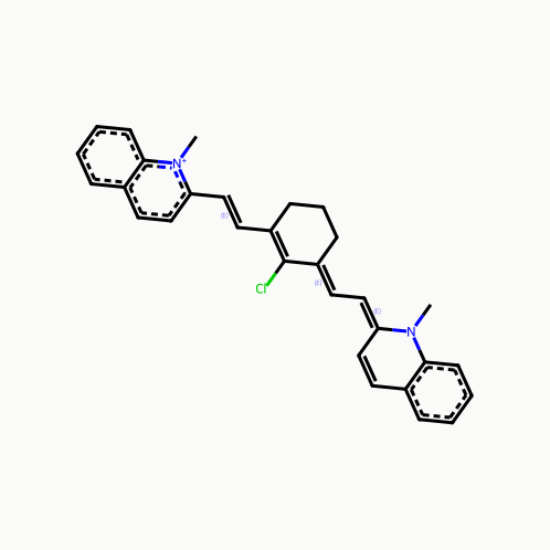 CN1/C(=C/C=C2\CCCC(/C=C/c3ccc4ccccc4[n+]3C)=C2Cl)C=Cc2ccccc21